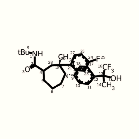 CC(C)(C)NC(=O)C1CCC[C@@H](c2ccc(C(C)(O)C(F)(F)F)cc2)[C@@](C)(c2ccc(F)cc2)C1